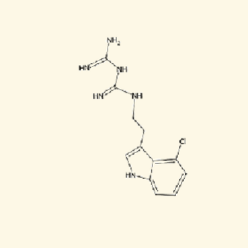 N=C(N)NC(=N)NCCc1c[nH]c2cccc(Cl)c12